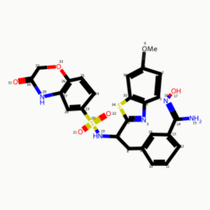 COc1ccc2nc(C(Cc3cccc(C(N)=NO)c3)NS(=O)(=O)c3ccc4c(c3)NC(=O)CO4)sc2c1